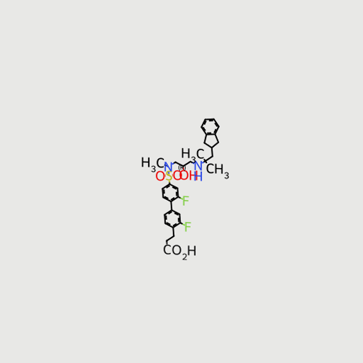 CN(C[C@H](O)CNC(C)(C)CC1Cc2ccccc2C1)S(=O)(=O)c1ccc(-c2ccc(CCC(=O)O)c(F)c2)c(F)c1